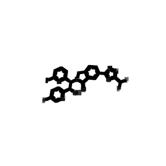 O=C1c2cc(-c3nnc(C(F)F)o3)ccc2CN1[C@H](c1cccc(F)n1)[C@@H](O)c1ccc(F)cn1